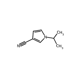 CC(C)n1ccc(C#N)c1